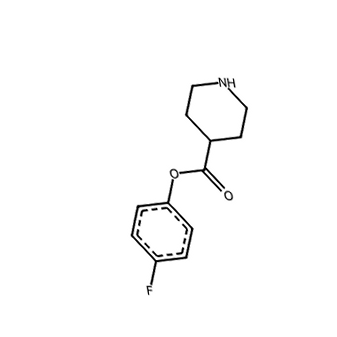 O=C(Oc1ccc(F)cc1)C1CCNCC1